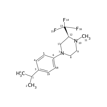 CC(C)c1ccc(N2CCN(C)[C@H](C(F)(F)F)C2)cc1